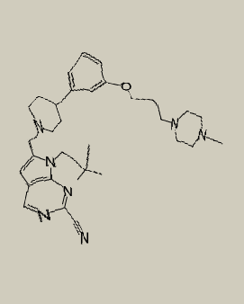 CN1CCN(CCCOc2cccc(C3CCN(Cc4cc5cnc(C#N)nc5n4CC(C)(C)C)CC3)c2)CC1